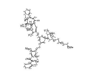 C=C(OC)/C(=C\C1=C(CC)C(=O)N2c3ccccc3C[C@H]2C(S(=O)(=O)O)N1)OCc1cc(COc2cc3c(cc2OC)C(=O)N2c4ccccc4C[C@H]2CN3)cc(N(CCOCCOCCOC)CC(C)(C)S)c1